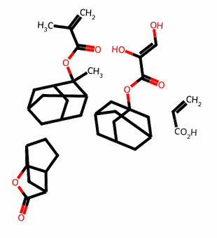 C=C(C)C(=O)OC1(C)C2CC3CC(C2)CC1C3.C=CC(=O)O.O=C(OC12CC3CC(CC(C3)C1)C2)C(O)=CO.O=C1OC2C3CCC2C1C3